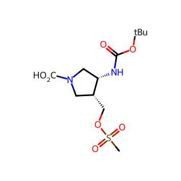 CC(C)(C)OC(=O)N[C@H]1CN(C(=O)O)C[C@H]1COS(C)(=O)=O